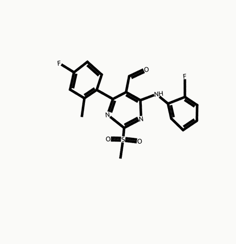 Cc1cc(F)ccc1-c1nc(S(C)(=O)=O)nc(Nc2ccccc2F)c1C=O